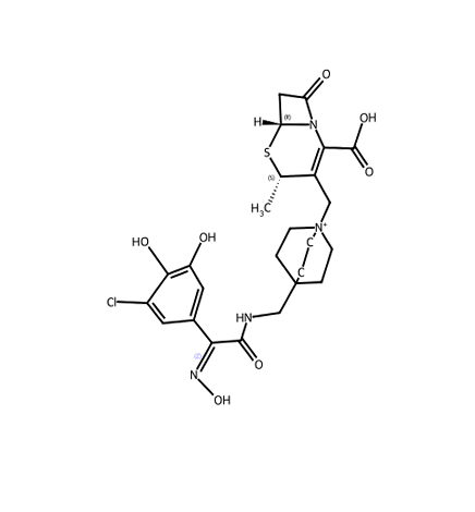 C[C@@H]1S[C@@H]2CC(=O)N2C(C(=O)O)=C1C[N+]12CCC(CNC(=O)/C(=N\O)c3cc(O)c(O)c(Cl)c3)(CC1)CC2